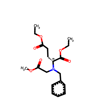 CCOC(=O)CC[C@H](C(=O)OCC)N(CC(=O)OC)Cc1ccccc1